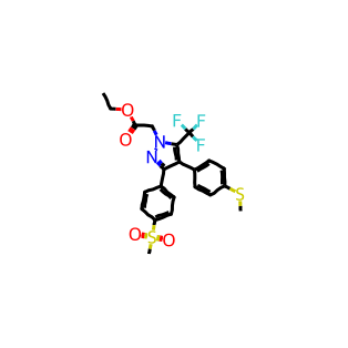 CCOC(=O)Cn1nc(-c2ccc(S(C)(=O)=O)cc2)c(-c2ccc(SC)cc2)c1C(F)(F)F